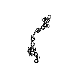 Nc1ncnc2c1c(-c1ccc(Oc3ccccc3)cc1)nn2C1CCN(C2CCN(CCCN3CCN(c4ccc5c(c4)CN(C4CCC(=O)NC4=O)C5=O)CC3)CC2)CC1